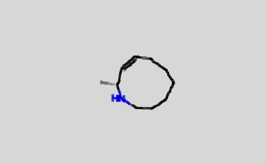 C[C@@H]1/C=C\CCCCCCN1